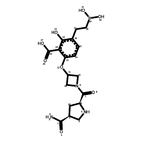 NC(=O)[C@@H]1CN[C@H](C(=O)N2CC(Oc3ccc(CCB(O)O)c(O)c3C(=O)O)C2)C1